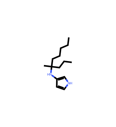 CCCCCC(C)(CCC)Nc1cc[nH]c1